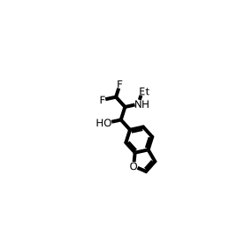 CCNC(C(F)F)C(O)c1ccc2ccoc2c1